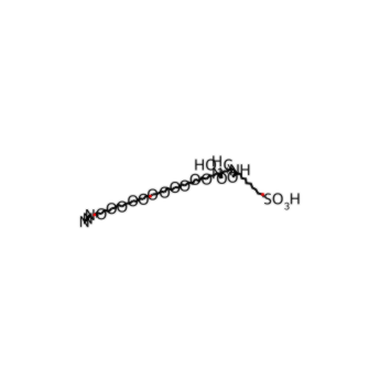 [N-]=[N+]=NCCOCCOCCOCCOCCOCCOCCOCCOCCOCCOCCOCCNC(=O)CC[C@H](NC(=O)CCCCCCCCCCS(=O)(=O)O)C(=O)O